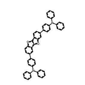 c1ccc(N(c2ccccc2)c2ccc(-c3ccc4c(c3)oc3c5cc(-c6ccc(N(c7ccccc7)c7ccccc7)cc6)ccc5oc43)cc2)cc1